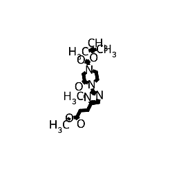 COC(=O)CCc1cnc(N2CCN(C(=O)OC(C)(C)C)CC2=O)n1C